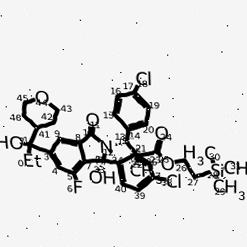 CCC(O)(c1cc(F)c2c(c1)C(=O)N([C@H](c1ccc(Cl)cc1)[C@H](C)C(=O)OCC[Si](C)(C)C)[C@@]2(O)c1ccc(Cl)cc1)C1CCOCC1